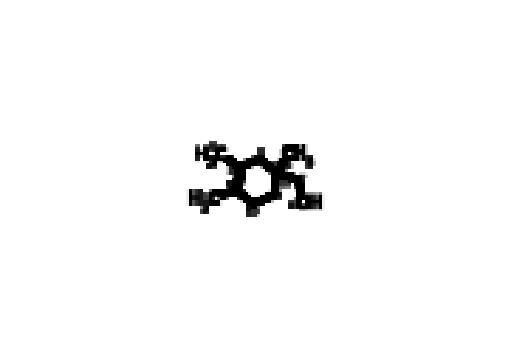 CC1=C(C)C[C@](C)(CO)CC1